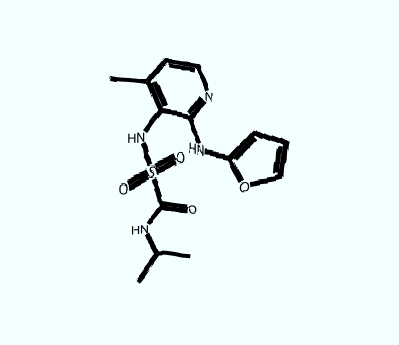 Cc1ccnc(Nc2ccco2)c1NS(=O)(=O)C(=O)NC(C)C